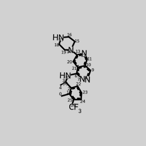 Cc1c([C@@H](C)Nc2nncc3cnc(N4CCNCC4)cc23)cccc1C(F)(F)F